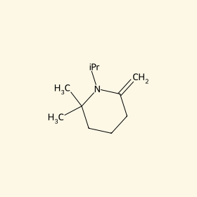 C=C1CCCC(C)(C)N1C(C)C